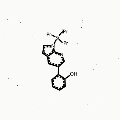 CC(C)[Si](C(C)C)(C(C)C)n1ccc2cc(-c3ccccc3O)cnc21